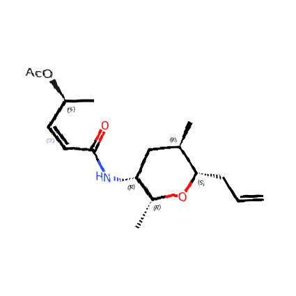 C=CC[C@@H]1O[C@H](C)[C@H](NC(=O)/C=C\[C@H](C)OC(C)=O)C[C@H]1C